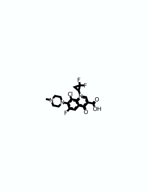 CN1CCN(c2c(F)cc3c(=O)c(C(=O)O)cn(C4CC4(F)F)c3c2Cl)CC1